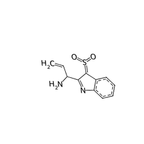 C=CC(N)C1=Nc2ccccc2C1=S(=O)=O